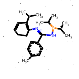 Cc1ccc(/C(=N\C2=C(C(C)C)C=CCC2)NP(C(C)C)C(C)C)cc1